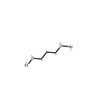 [CH2]COCCCOC(C)=O